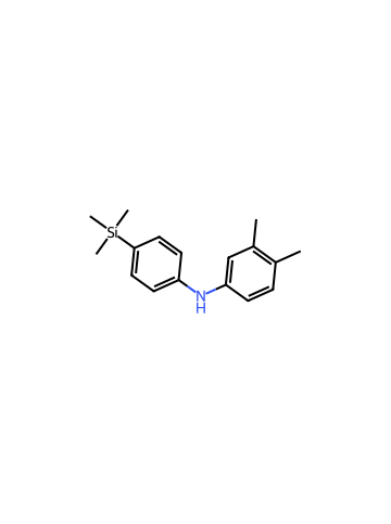 Cc1ccc(Nc2ccc([Si](C)(C)C)cc2)cc1C